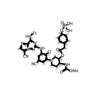 CCNc1nc(Nc2cc(C#N)cc(N3CCC(NC(=O)OC)C(OC(=O)Cc4ccc(OP(=O)(O)O)cc4)C3)c2Cl)nn2c(C#N)cnc12